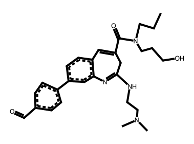 CCCN(CCCO)C(=O)C1=Cc2ccc(-c3ccc(C=O)cc3)cc2N=C(NCCN(C)C)C1